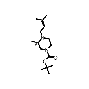 CC(C)=CCN1CCN(C(=O)OC(C)(C)C)C[C@H]1C